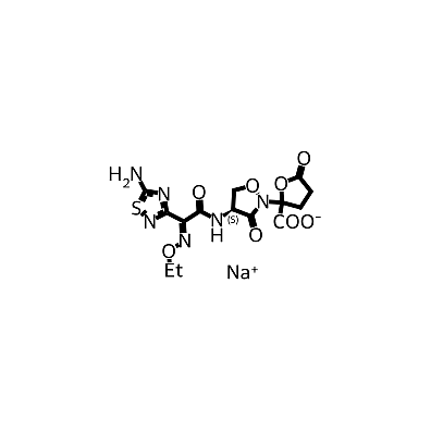 CCON=C(C(=O)N[C@H]1CON(C2(C(=O)[O-])CCC(=O)O2)C1=O)c1nsc(N)n1.[Na+]